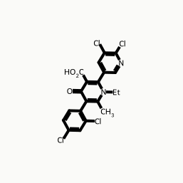 CCn1c(C)c(-c2ccc(Cl)cc2Cl)c(=O)c(C(=O)O)c1-c1cnc(Cl)c(Cl)c1